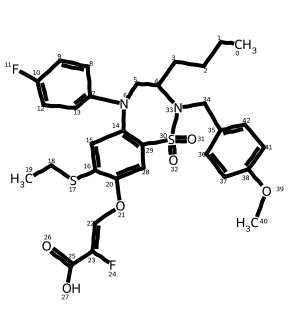 CCCCC1CN(c2ccc(F)cc2)c2cc(SCC)c(O/C=C(\F)C(=O)O)cc2S(=O)(=O)N1Cc1ccc(OC)cc1